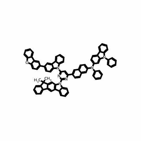 CC1(C)c2ccccc2-c2cc3c4ccccc4n(-c4nc(-c5ccc6cc(N(c7ccccc7)c7ccc8c9ccccc9n(-c9ccccc9)c8c7)ccc6c5)cc(-n5c6ccccc6c6cc(-c7ccc8oc9ccccc9c8c7)ccc65)n4)c3cc21